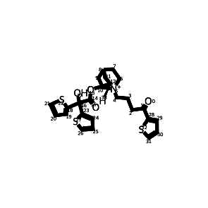 O=C(CCC[N+]12CCC(CC1)C[C@H]2OC(=O)C(O)(c1cccs1)c1cccs1)c1cccs1